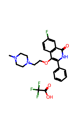 CN1CCN(CCOc2c(-c3ccccc3)[nH]c(=O)c3cc(F)ccc23)CC1.O=C(O)C(F)(F)F